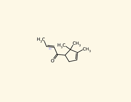 C/C=C/C(=O)C1CC=C(C)C1(C)C